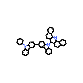 c1ccc(-n2c3ccccc3c3cc(-c4ccc5c(c4)c4ccccc4n5-c4c5ccc6ccccc6c5nc5c4ccc4ccccc45)ccc32)cc1